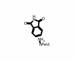 CCCCCN.O=C1NC(=O)c2ccccc21